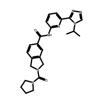 CC(C)n1cnnc1-c1cccc(NC(=O)c2ccc3c(c2)CN(C(=O)N2CCCC2)C3)n1